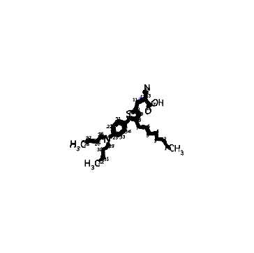 CCCCCCCCc1cc(/C=C(/C#N)C(=O)O)sc1-c1ccc(N(CCCC)CCCC)cc1